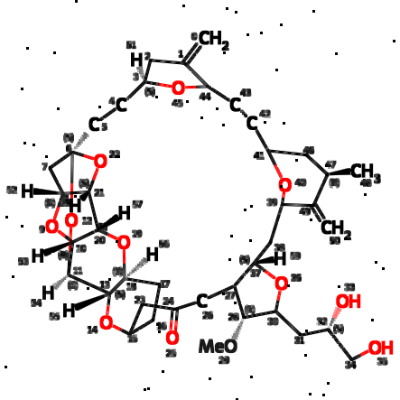 C=C1C[C@@H]2CC[C@@]34C[C@H]5O[C@H]6[C@@H](O3)[C@H]3OC(CC[C@@H]3O[C@H]6[C@H]5O4)CC(=O)CC3[C@@H](OC)C(C[C@H](O)CO)O[C@H]3CC3OC(CCC1O2)C[C@@H](C)C3=C